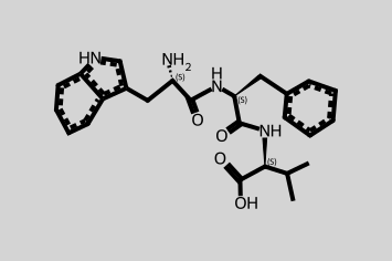 CC(C)[C@H](NC(=O)[C@H](Cc1ccccc1)NC(=O)[C@@H](N)Cc1c[nH]c2ccccc12)C(=O)O